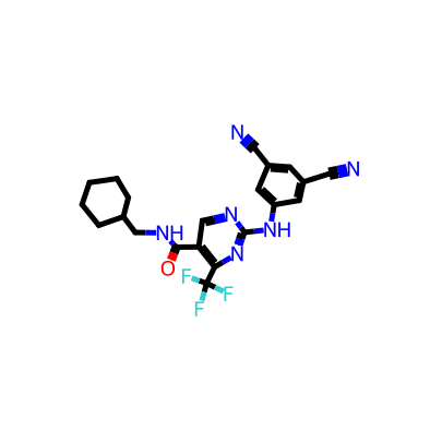 N#Cc1cc(C#N)cc(Nc2ncc(C(=O)NCC3CCCCC3)c(C(F)(F)F)n2)c1